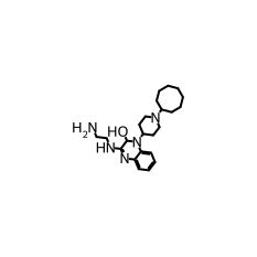 NCCNC1=Nc2ccccc2N(C2CCN(C3CCCCCCC3)CC2)C1O